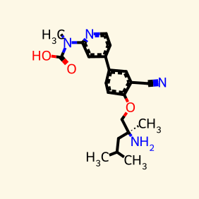 CC(C)C[C@](C)(N)COc1ccc(-c2ccnc(N(C)C(=O)O)c2)cc1C#N